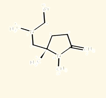 C=C1CC[C@@](C)(CN(C)CC(C)C)N1C